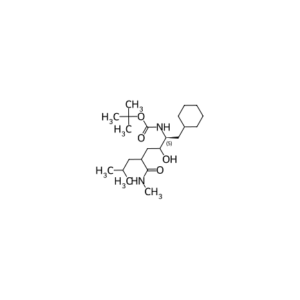 CNC(=O)C(CC(C)C)CC(O)[C@H](CC1CCCCC1)NC(=O)OC(C)(C)C